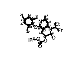 CCC(CC)N1C(=O)C(OC(=O)OC(C)C)Cc2c1cc(C)nc2Oc1c(C)cc(C)cc1C